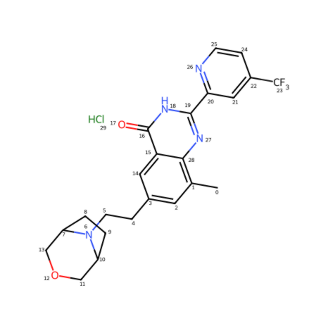 Cc1cc(CCN2C3CCC2COC3)cc2c(=O)[nH]c(-c3cc(C(F)(F)F)ccn3)nc12.Cl